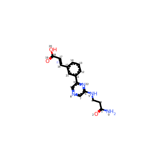 NC(=O)CCNc1cncc(-c2cccc(/C=C/C(=O)O)c2)n1